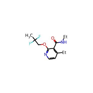 CCNC(=O)c1c(CC)ccnc1OCC(C)(F)F